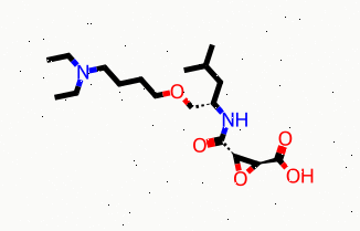 CCN(CC)CCCCOC[C@H](CC(C)C)NC(=O)[C@H]1O[C@@H]1C(=O)O